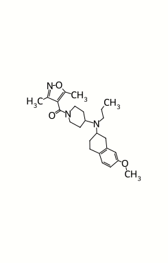 CCCN(C1CCN(C(=O)c2c(C)noc2C)CC1)C1CCc2ccc(OC)cc2C1